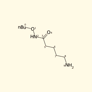 CCCCONC(=O)CCCCN